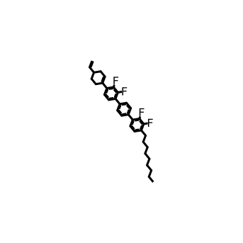 C=CC1CC=C(c2ccc(-c3ccc(-c4ccc(CCCCCCCCC)c(F)c4F)cc3)c(F)c2F)CC1